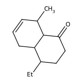 CCC1CCC(=O)C2C(C)C=CCC12